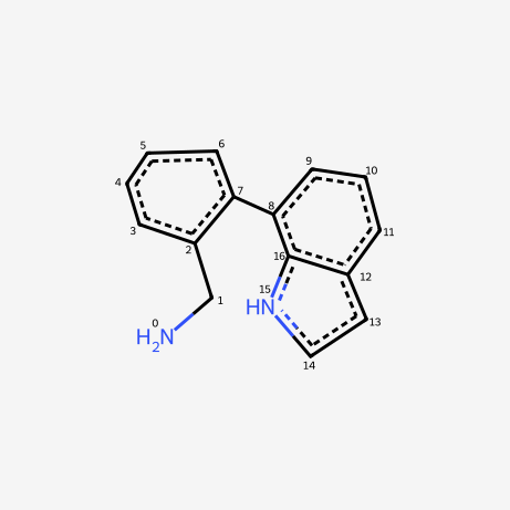 NCc1ccccc1-c1cccc2cc[nH]c12